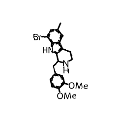 COc1ccc(CC2NCCc3c2[nH]c2c(Br)cc(C)cc32)cc1OC